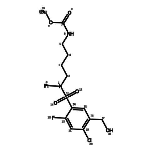 CC(C)N(CCCCNC(=O)OC(C)(C)C)S(=O)(=O)c1cc(CO)c(Cl)cc1F